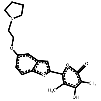 Cc1c(-c2cc3cc(OCCN4CCCC4)ccc3o2)oc(=O)c(C)c1O